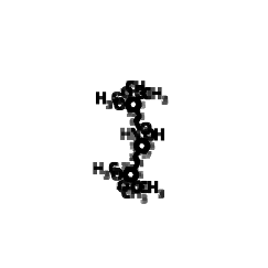 COc1cc(/C=C/C(=O)Nc2cc(/C=C/c3cc(OC)c(OC)c(OC)c3)ccc2O)cc(OC)c1OC